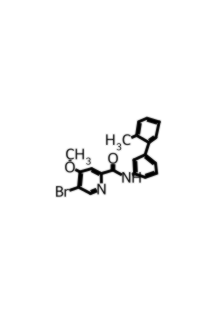 COc1cc(C(=O)Nc2cccc(-c3ccccc3C)c2)ncc1Br